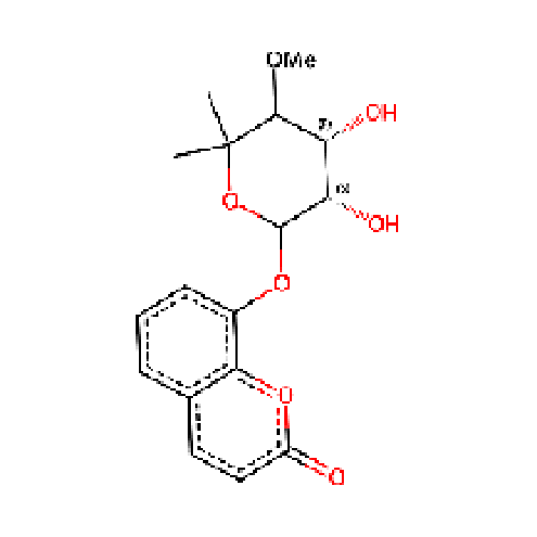 COC1[C@H](O)[C@H](O)C(Oc2cccc3ccc(=O)oc23)OC1(C)C